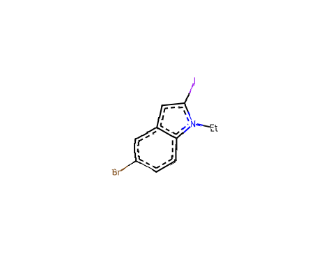 CCn1c(I)cc2cc(Br)ccc21